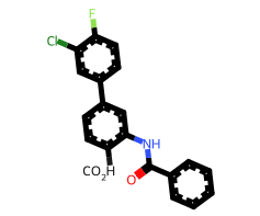 O=C(Nc1cc(-c2ccc(F)c(Cl)c2)ccc1C(=O)O)c1ccccc1